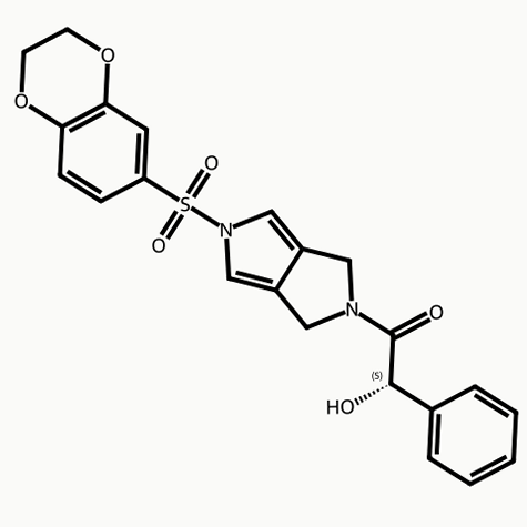 O=C([C@@H](O)c1ccccc1)N1Cc2cn(S(=O)(=O)c3ccc4c(c3)OCCO4)cc2C1